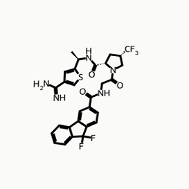 C[C@@H](NC(=O)[C@@H]1C[C@H](C(F)(F)F)CN1C(=O)CNC(=O)c1ccc2c(c1)-c1ccccc1C2(F)F)c1cc(C(=N)N)cs1